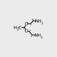 CC(OCCN)OCCN